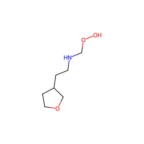 OOCNCCC1CCOC1